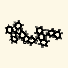 c1ccc2c(c1)-c1ccccc1C21c2ccccc2-c2cc3c(cc21)oc1ccc(-c2c4ccccc4c(-c4ccc5ccccc5c4)c4ccccc24)cc13